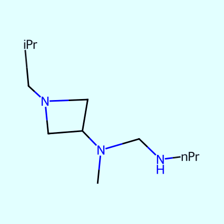 CCCNCN(C)C1CN(CC(C)C)C1